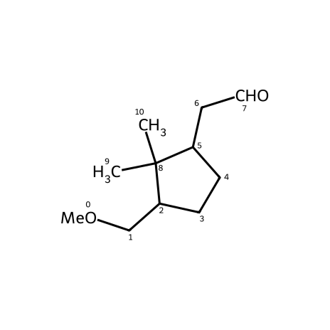 COCC1CCC(CC=O)C1(C)C